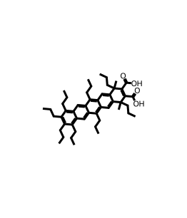 CCCc1c(CCC)c(CCC)c2cc3c(CCC)c4cc5c(cc4c(CCC)c3cc2c1CCC)C(C)(CCC)C(C(=O)O)=C(C(=O)O)C5(C)CCC